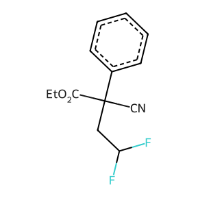 CCOC(=O)C(C#N)(CC(F)F)c1ccccc1